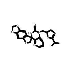 CC(C)C1=NCC(CN2C(=O)NC3(COc4cc5c(cc43)OCO5)c3ncccc32)S1